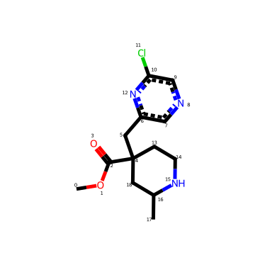 COC(=O)C1(Cc2cncc(Cl)n2)CCNC(C)C1